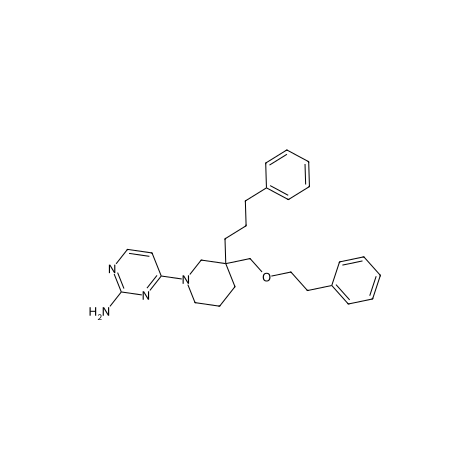 Nc1nccc(N2CCCC(CCCc3ccccc3)(COCCc3ccccc3)C2)n1